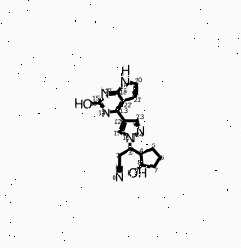 N#CCC(C1CCCC1O)n1cc(-c2nc(O)nc3[nH]ccc23)cn1